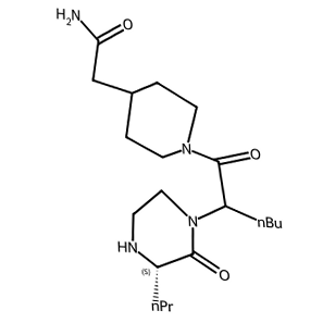 CCCCC(C(=O)N1CCC(CC(N)=O)CC1)N1CCN[C@@H](CCC)C1=O